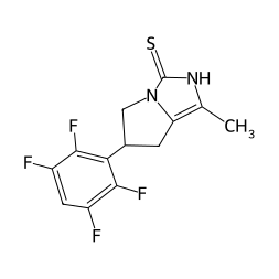 Cc1[nH]c(=S)n2c1CC(c1c(F)c(F)cc(F)c1F)C2